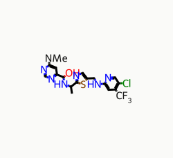 CNc1cc(C(O)NC(C)c2ncc(CNc3cc(C(F)(F)F)c(Cl)cn3)s2)ncn1